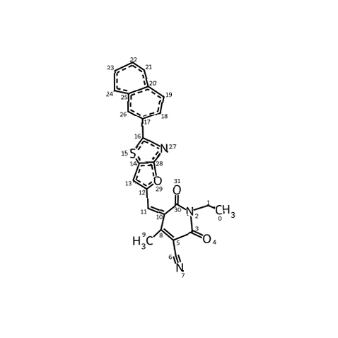 CCN1C(=O)C(C#N)=C(C)/C(=C/c2cc3sc(-c4ccc5ccccc5c4)nc3o2)C1=O